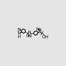 CC(C)(CO)n1nnc2cc(-c3noc(-c4ccc5nc[nH]c5c4)n3)ccc21